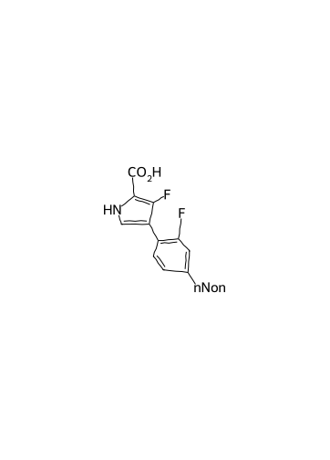 CCCCCCCCCc1ccc(-c2c[nH]c(C(=O)O)c2F)c(F)c1